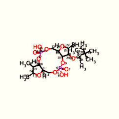 B[C@@H]1O[C@@H]2COP(=O)(O)OC3[C@@H](COP(=O)(O)O[C@@H]2C1C)O[C@@H](B)[C@H]3O[Si](C)(C)C(C)(C)C